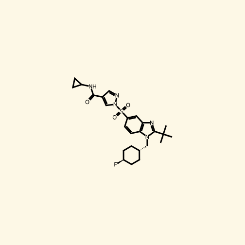 CC(C)(C)c1nc2cc(S(=O)(=O)n3cc(C(=O)NC4CC4)cn3)ccc2n1C[C@H]1CC[C@H](F)CC1